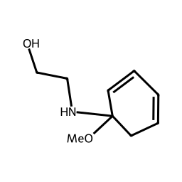 COC1(NCCO)C=CC=CC1